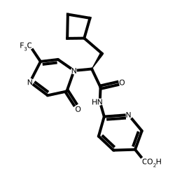 O=C(O)c1ccc(NC(=O)[C@H](CC2CCC2)n2cc(C(F)(F)F)ncc2=O)nc1